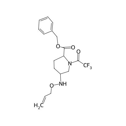 C=CCONC1CCC(C(=O)OCc2ccccc2)N(C(=O)C(F)(F)F)C1